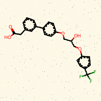 O=C(O)Cc1cccc(-c2ccc(OCC(O)COc3ccc(C(F)(F)F)cc3)cc2)c1